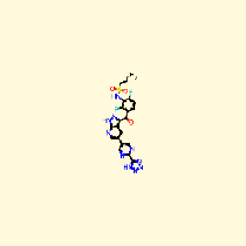 CCCS(=O)(=O)Nc1c(F)ccc(C(=O)c2n[nH]c3ncc(-c4cnc(-c5nnn[nH]5)nc4)cc23)c1F